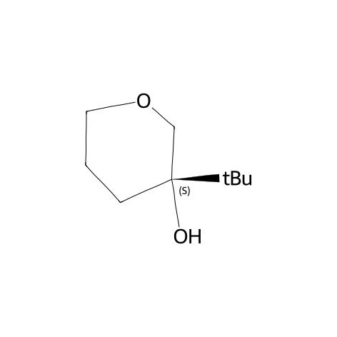 CC(C)(C)[C@@]1(O)CCCOC1